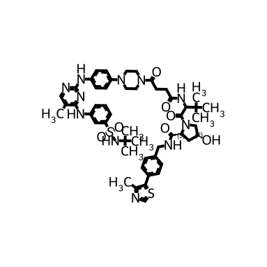 Cc1cnc(Nc2ccc(N3CCN(C(=O)CCC(=O)NC(C(=O)N4C[C@H](O)C[C@H]4C(=O)NCc4ccc(-c5scnc5C)cc4)C(C)(C)C)CC3)cc2)nc1Nc1cccc(S(=O)(=O)NC(C)(C)C)c1